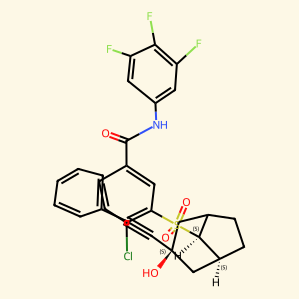 O=C(Nc1cc(F)c(F)c(F)c1)c1ccc(Cl)c(S(=O)(=O)[C@H]2C3CC[C@H]2C[C@](O)(C#Cc2ccccc2)C3)c1